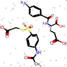 CC(=O)Nc1ccc(S(=O)(=O)SCC(=O)O)cc1.Nc1ccc(C(=O)N[C@@H](CCC(=O)O)C(=O)O)cc1